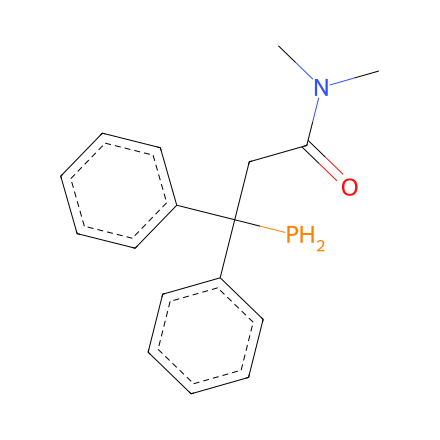 CN(C)C(=O)CC(P)(c1ccccc1)c1ccccc1